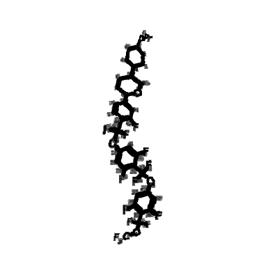 CCCC1CCC(C2CCC(c3ccc(C(F)(F)Oc4cc(F)c(C(F)(F)Oc5cc(F)c(C(F)(F)OC(F)(F)F)c(F)c5)c(F)c4)c(F)c3)OC2)CC1